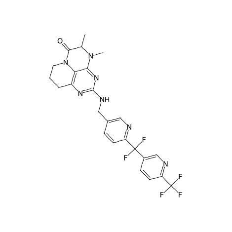 CC1C(=O)N2CCCc3nc(NCc4ccc(C(F)(F)c5ccc(C(F)(F)F)nc5)nc4)nc(c32)N1C